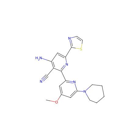 COc1cc(-c2nc(-c3nccs3)cc(N)c2C#N)nc(N2CCCCC2)c1